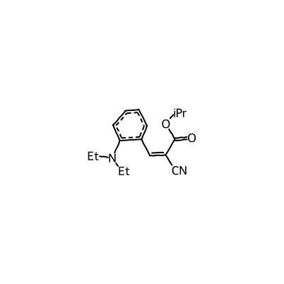 CCN(CC)c1ccccc1C=C(C#N)C(=O)OC(C)C